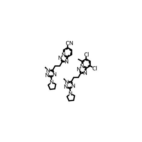 Cc1c(Cl)cc(Cl)c2nc(CCc3nc(N4CCCC4)nn3C)nn12.Cn1nc(N2CCCC2)nc1CCc1nc2ccc(C#N)cn2n1